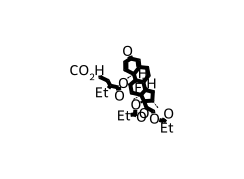 CCC(=O)OCC(=O)[C@@]1(OC(=O)CC)[C@@H](C)C[C@H]2[C@@H]3CCC4=CC(=O)C=C[C@]4(C)C3(F)[C@@H](OC(=O)C(CC)CCC(=O)O)C[C@@]21C